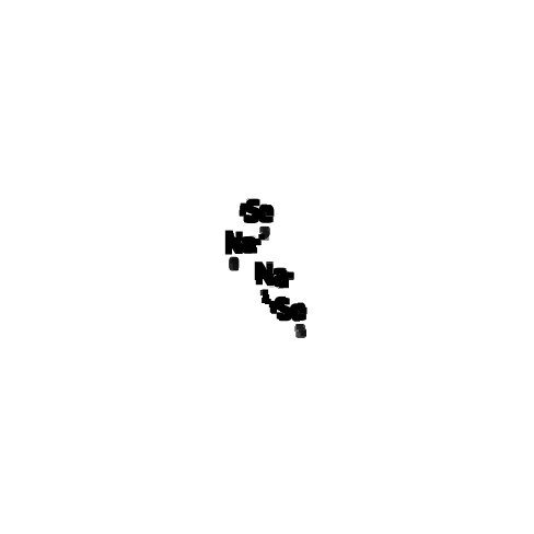 [Na].[Na].[Se].[Se]